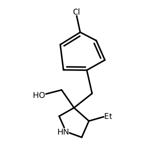 CCC1CNCC1(CO)Cc1ccc(Cl)cc1